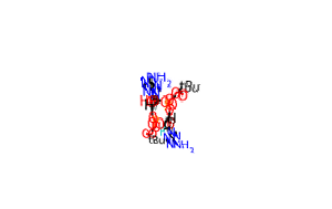 CC(C)(C)C(=O)OCOP1(=O)OC[C@H]2O[C@@H](n3cnc4c(N)ncnc43)C(F)C2OP(=O)(OCOC(=O)C(C)(C)C)OC[C@H]2O[C@@H](n3cnc4c(N)ncnc43)C(O1)C2O